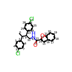 CC(c1ccc(Cl)cc1)C(CNC(=O)c1cc2ccccc2o1)c1ccc(Cl)cc1